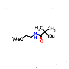 COCCNC(=O)C(C)(C)C(C)(C)C